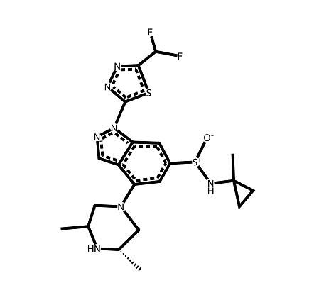 CC1CN(c2cc([S+]([O-])NC3(C)CC3)cc3c2cnn3-c2nnc(C(F)F)s2)C[C@H](C)N1